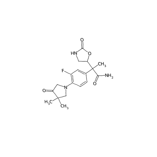 CC1(C)CN(c2ccc(C(C)(C(N)=O)C3CNC(=O)O3)cc2F)CC1=O